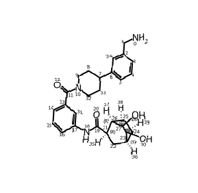 NCc1cccc(C2CCN(C(=O)c3cccc(NC(=O)[C@@H]4C[C@@H]5CC[C@H]4[C@@H](O)[C@H]5O)c3)CC2)c1